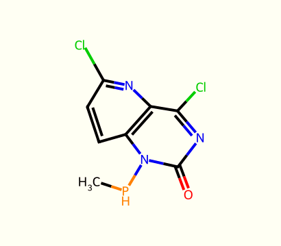 CPn1c(=O)nc(Cl)c2nc(Cl)ccc21